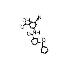 N#Cc1cc(NC(=O)c2cccc(C(=O)c3ccccc3)c2)cc(C(=O)O)c1